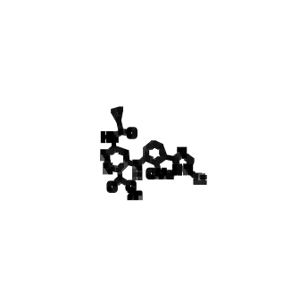 CCn1cnc(-c2cccc(Nc3cc(NC(=O)C4CC4)nnc3C(=O)[O][Zn])c2OC)n1